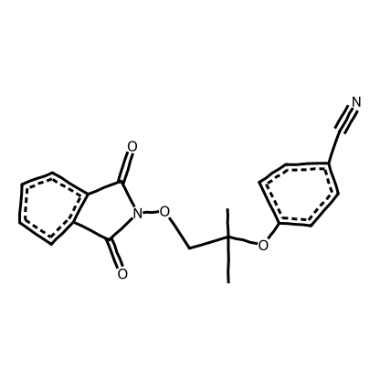 CC(C)(CON1C(=O)c2ccccc2C1=O)Oc1ccc(C#N)cc1